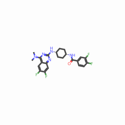 CN(C)c1nc(N[C@H]2CC[C@@H](NC(=O)c3ccc(F)c(F)c3)CC2)nc2cc(F)c(F)cc12